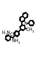 CC1C=C(c2ccc(C(N)C3(C)CC=CC=C3N)cc2)C=C2C3=C(C4C=CC=CC4C=C3)N(C3C=CC=CC3)C21